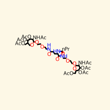 CCCC(=O)NC(CCC(=O)NCCOCCOC1OCC(COC(C)=O)C(OC(C)=O)C(OC(C)=O)C1NC(C)=O)C(=O)NCCOCCOC1OC(COC(C)=O)C(OC(C)=O)C(OC(C)=O)C1NC(C)=O